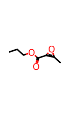 CCCOC(=O)C1=C(C)O1